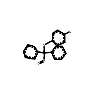 O=PC(Sc1ccc(Cl)cc1)(c1ccccc1)c1ccccc1